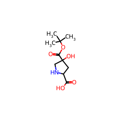 CC(C)(C)OC(=O)C1(O)CNC(C(=O)O)C1